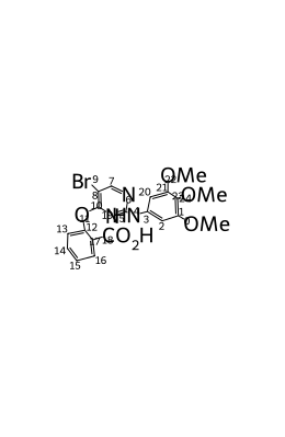 COc1cc(Nc2ncc(Br)c(Oc3ccccc3C(=O)O)n2)cc(OC)c1OC